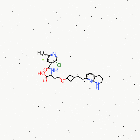 Cc1ncc(Cl)c(C(=O)NC(CCOC2CC(CCc3ccc4c(n3)NCCC4)C2)C(=O)O)c1F